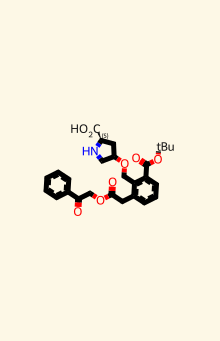 CC(C)(C)OC(=O)c1cccc(CC(=O)OCC(=O)c2ccccc2)c1COC1CN[C@H](C(=O)O)C1